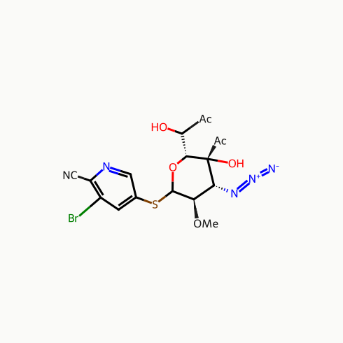 CO[C@H]1C(Sc2cnc(C#N)c(Br)c2)O[C@H](C(O)C(C)=O)[C@@](O)(C(C)=O)[C@@H]1N=[N+]=[N-]